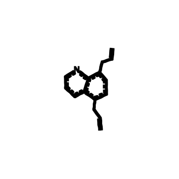 C=CCc1ccc(CC=C)c2ncccc12